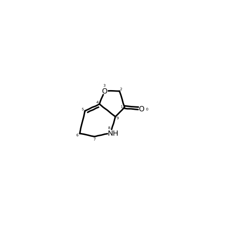 O=C1COC2=CCCNC12